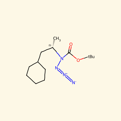 C[C@@H](CC1CCCCC1)N(N=[N+]=[N-])C(=O)OC(C)(C)C